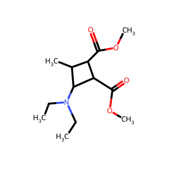 CCN(CC)C1C(C)C(C(=O)OC)C1C(=O)OC